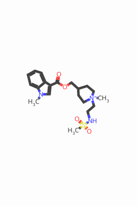 Cn1cc(C(=O)OCC2CC[N+](C)(CCNS(C)(=O)=O)CC2)c2ccccc21